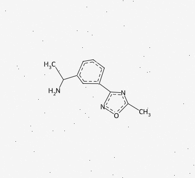 Cc1nc(-c2cccc(C(C)N)c2)no1